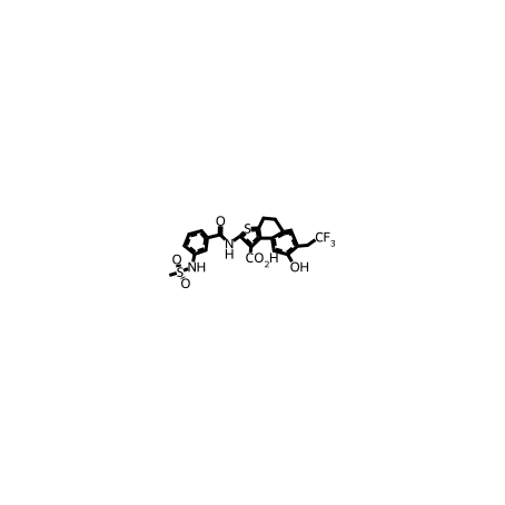 CS(=O)(=O)Nc1cccc(C(=O)Nc2sc3c(c2C(=O)O)-c2cc(O)c(CC(F)(F)F)cc2CC3)c1